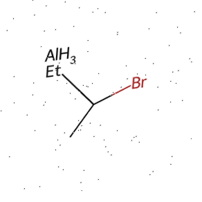 CCC(C)Br.[AlH3]